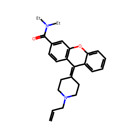 C=CCN1CCC(=C2c3ccccc3Oc3cc(C(=O)N(CC)CC)ccc32)CC1